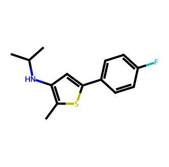 Cc1sc(-c2ccc(F)cc2)cc1NC(C)C